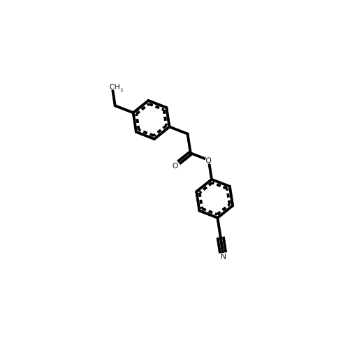 CCc1ccc(CC(=O)Oc2ccc(C#N)cc2)cc1